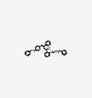 ClC(C/C(=C\c1ccc(OCc2ccccc2)cc1)c1ccccc1)c1ccccc1OCCOCc1ccccc1